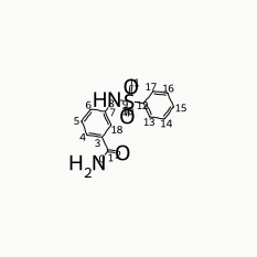 NC(=O)c1cccc(NS(=O)(=O)c2ccccc2)c1